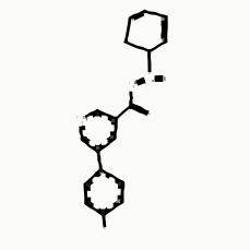 O=C(N=[SH](=O)C1C=CC=CC1)c1cncc(-c2ccc(O)cc2)c1